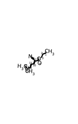 CCCCOC(=O)C(C#N)=CC=CN(C)C